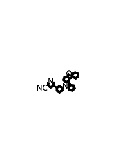 N#Cc1cncc(-c2cccc(-n3c4ccccc4c4c5c(ccc43)oc3ccccc35)c2)c1